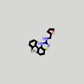 Cc1ccccc1-c1cccc2c1NC(NCc1ccco1)=NS2